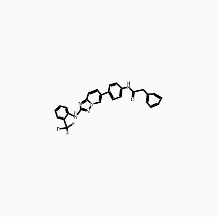 O=C(Cc1ccccc1)Nc1ccc(-c2ccc3nc(Nc4ccccc4C(F)(F)F)nn3c2)cc1